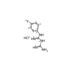 Cl.N=C(N)NC(=N)Nc1ccc(F)cc1